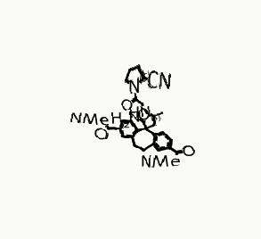 CNC(=O)c1ccc2c(c1)CCc1cc(C(=O)NC)ccc1C2(C[C@H](C)NCC(=O)N1CCC[C@H]1C#N)C(N)=O